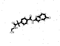 CC(C)(C(=O)NCC#N)c1ccc(C(=O)Nc2cn3cc(Cl)ccc3n2)cc1